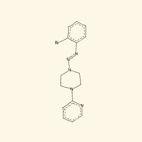 Brc1ccccc1N=NN1CCN(c2ccccn2)CC1